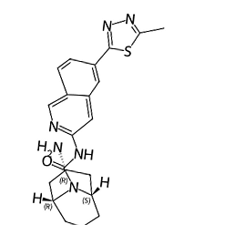 Cc1nnc(-c2ccc3cnc(NC(=O)N4[C@@H]5CCC[C@H]4C[C@@H](N)C5)cc3c2)s1